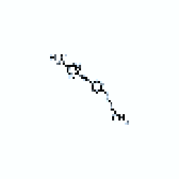 CCCCCCc1ccc(C#Cc2ncc(CC)cn2)cc1